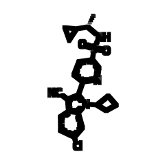 C[C@H](NS(=O)(=O)c1ccc(-c2c(C#N)c3ccc(Cl)cc3n2C2CCC2)nc1)C1CC1